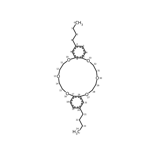 CCCCc1ccc2c(c1)OCCOCCOc1ccc(CCCC)cc1OCCOCCO2